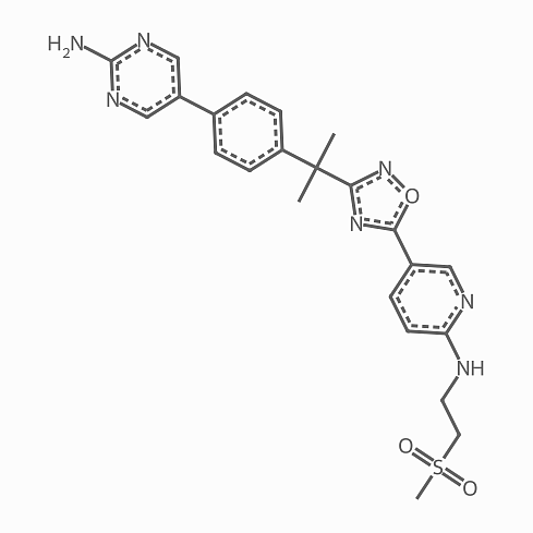 CC(C)(c1ccc(-c2cnc(N)nc2)cc1)c1noc(-c2ccc(NCCS(C)(=O)=O)nc2)n1